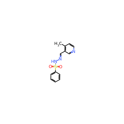 Cc1ccncc1C=NNS(=O)(=O)c1ccccc1